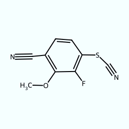 COc1c(C#N)ccc(SC#N)c1F